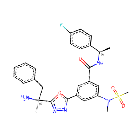 C[C@@H](NC(=O)c1cc(-c2nnc([C@@](C)(N)Cc3ccccc3)o2)cc(N(C)S(C)(=O)=O)c1)c1ccc(F)cc1